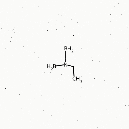 BN(B)CC